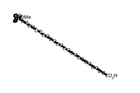 COC(=O)N(CCOCCOCCOCCOCCOCCOCCOCCOCCOCCOCCOCCOCCOCCOCCOCCOCCOCCOCCOCCOCCOCCOCCOCCOCCC(=O)O)C1c2ccccc2-c2ccccc21